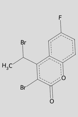 CC(Br)c1c(Br)c(=O)oc2ccc(F)cc12